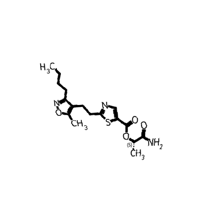 CCCCc1noc(C)c1CCc1ncc(C(=O)O[C@@H](C)C(N)=O)s1